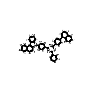 c1ccc(-c2nc(-c3ccc(-c4cccc5ccccc45)cc3)nc(-c3ccc(-n4c5ccccc5c5c6ccccc6ccc54)cc3)n2)cc1